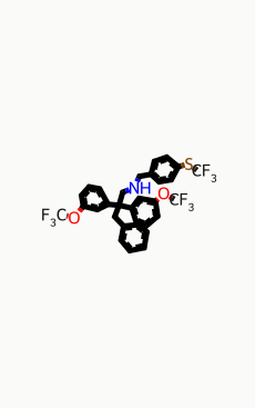 FC(F)(F)Oc1cccc(C(CNCc2ccc(SC(F)(F)F)cc2)(Cc2ccccc2)c2cccc(OC(F)(F)F)c2)c1